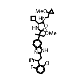 COCC(C)(C(=O)N[C@@H](C(=O)NCC1(OC)CC1)C1CCC1)c1ccc2nc(CC(c3c(F)cccc3Cl)C(C)C)[nH]c2c1